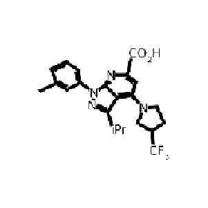 Cc1cccc(-n2nc(C(C)C)c3c(N4CCC(C(F)(F)F)C4)cc(C(=O)O)nc32)c1